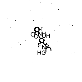 CCc1sc(-c2cc(O)c(C(=O)Nc3c(F)cccc3Cl)cc2F)nc1CO